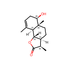 CC1=CC[C@@H](O)[C@]2(C)CC[C@@H]3[C@H](OC(=O)[C@@H]3C)[C@@H]12